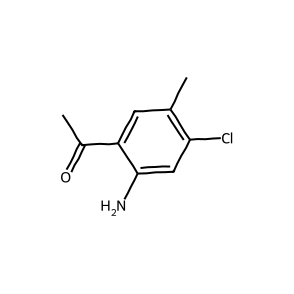 CC(=O)c1cc(C)c(Cl)cc1N